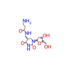 NCCC(=O)NC=C1CN([C@H]2C[C@H](O)[C@@H](CO)O2)C(=O)NC1=O